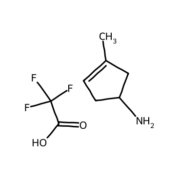 CC1=CCC(N)C1.O=C(O)C(F)(F)F